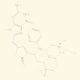 Cn1c(/C=C2\C=C(C(CC3C4(CCC5[C@]3(C)CC[C@@H](O)[C@@]5(C)CO)CO4)Nc3ccccn3)C(=O)O2)nc2c(=O)[nH]c(N)nc21